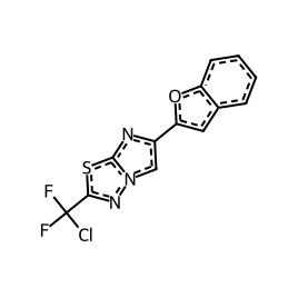 FC(F)(Cl)c1nn2cc(-c3cc4ccccc4o3)nc2s1